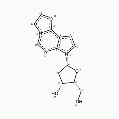 OC[C@H]1O[C@@H](n2cnc3c2ncn2ccnc32)C[C@H]1O